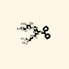 CCNC(=O)[C@H]1O[C@@H](n2cnc3c(NCC(c4ccccc4)c4ccccc4)nc(C(=O)NCCCN(C)C)nc32)[C@@H](O)[C@@H]1O